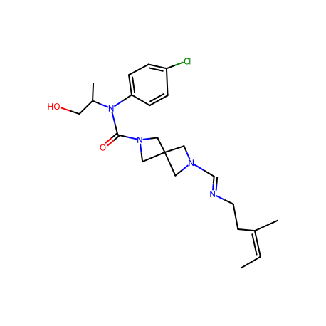 C/C=C(/C)CC/N=C/N1CC2(C1)CN(C(=O)N(c1ccc(Cl)cc1)C(C)CO)C2